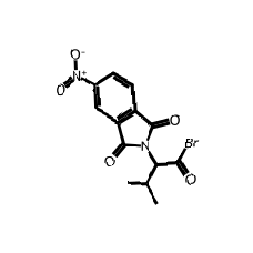 CC(C)C(C(=O)Br)N1C(=O)c2ccc([N+](=O)[O-])cc2C1=O